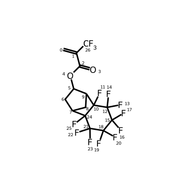 C=C(C(=O)OC1CC2CC1C1(F)C(F)(F)C(F)(F)C(F)(F)C(F)(F)C21F)C(F)(F)F